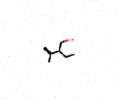 C=C(C)C(CC)CO